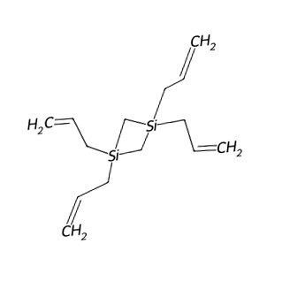 C=CC[Si]1(CC=C)C[Si](CC=C)(CC=C)C1